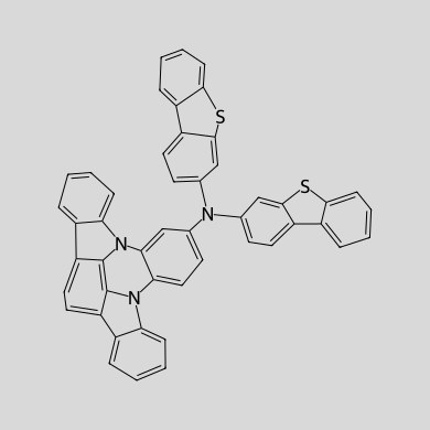 c1ccc2c(c1)sc1cc(N(c3ccc4c(c3)sc3ccccc34)c3ccc4c(c3)n3c5ccccc5c5ccc6c7ccccc7n4c6c53)ccc12